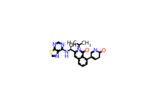 CC(C)n1c([C@H](C)Nc2ncnc3scnc23)cc2cccc(C3=CCC(=O)N=C3)c2c1=O